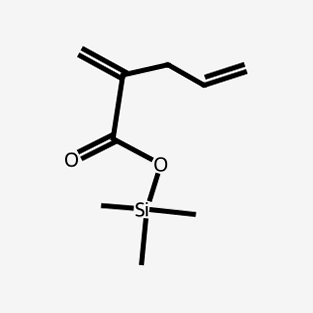 C=CCC(=C)C(=O)O[Si](C)(C)C